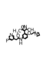 Cc1noc(C)c1-c1cc(NC(=O)Cc2cncc(F)c2)ccc1OCCN1CCC1